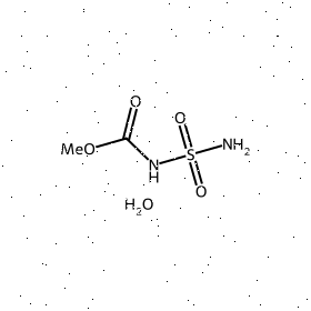 COC(=O)NS(N)(=O)=O.O